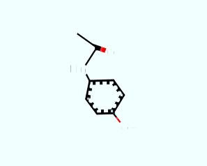 C[C](=O)[InH][c]1ccc(O)cc1